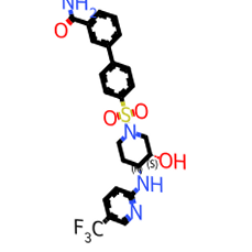 NC(=O)c1cccc(-c2ccc(S(=O)(=O)N3CC[C@@H](Nc4ccc(C(F)(F)F)cn4)[C@@H](O)C3)cc2)c1